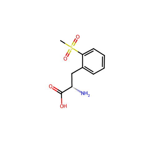 CS(=O)(=O)c1ccccc1C[C@H](N)C(=O)O